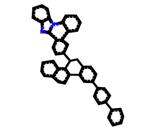 c1ccc(-c2ccc(-c3ccc4c(c3)-c3ccc5ccccc5c3C(c3ccc5c(c3)c3ccccc3n3c6ccccc6nc53)C4)cc2)cc1